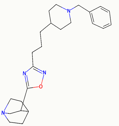 c1ccc(CN2CCC(CCCc3noc(C4CN5CCC4CC5)n3)CC2)cc1